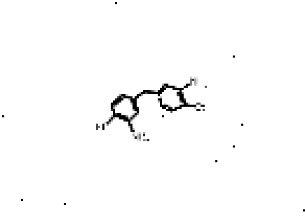 CCc1ccc(Cc2ccc(CC)c(N)c2)cc1N